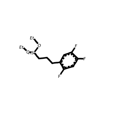 CCO[SiH](CCCc1cc(F)c(F)cc1F)OCC